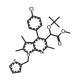 COC(=O)C(OC(C)(C)C)c1c(C)nc2c(c(C)c(C)n2Cc2cccs2)c1-c1ccc(Cl)cc1